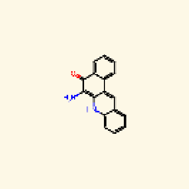 Nc1c2[nH]c3ccccc3cc-2c2ccccc2c1=O